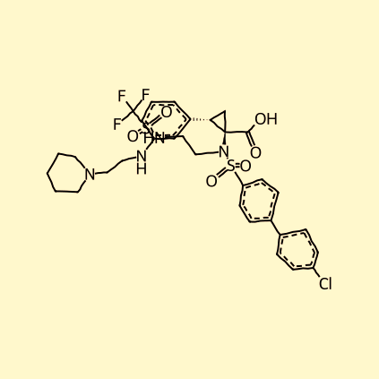 O=C(O)[C@@]1(N(CCNS(=O)(=O)C(F)(F)F)S(=O)(=O)c2ccc(-c3ccc(Cl)cc3)cc2)C[C@H]1c1cccc(NCCN2CCCCC2)c1